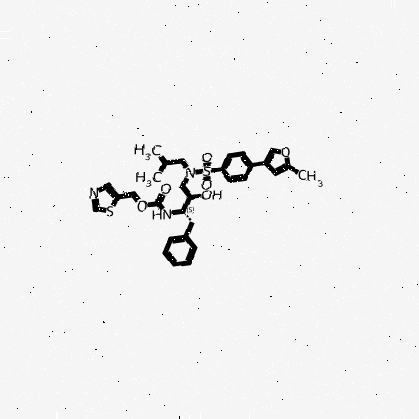 Cc1cc(-c2ccc(S(=O)(=O)N(CC(C)C)CC(O)[C@H](Cc3ccccc3)NC(=O)OCc3cncs3)cc2)co1